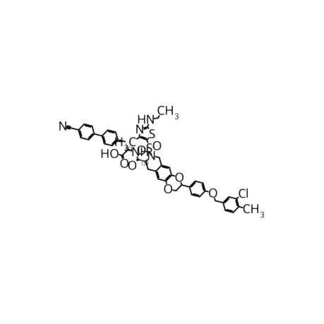 CCNc1nc(C)c(S(=O)(=O)N2Cc3cc4c(cc3C[C@H]2C(=O)N[C@@H](Cc2ccc(-c3ccc(C#N)cc3)cc2)C(=O)O)OCC(c2ccc(OCc3ccc(C)c(Cl)c3)cc2)O4)s1